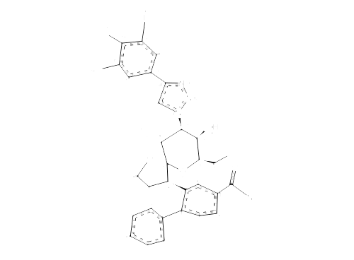 NC(=O)c1ccc(-c2ccccc2)c([C@H]2CCO[C@]23O[C@H](CO)[C@H](O)[C@H](n2cc(-c4cc(F)c(F)c(F)c4)nn2)[C@H]3O)c1